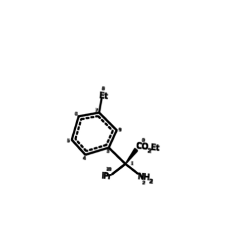 CCOC(=O)[C@](N)(c1cccc(CC)c1)C(C)C